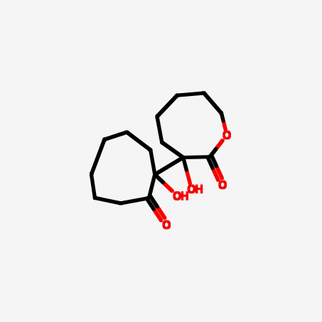 O=C1CCCCCCC1(O)C1(O)CCCCCOC1=O